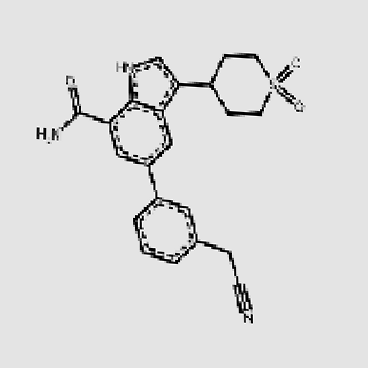 N#CCc1cccc(-c2cc(C(N)=O)c3[nH]cc(C4CCS(=O)(=O)CC4)c3c2)c1